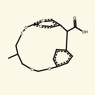 CC1CCCOc2ccc(cc2)C(C(=O)O)c2ccc(cc2)OCC1